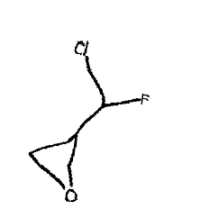 FC(Cl)C1CO1